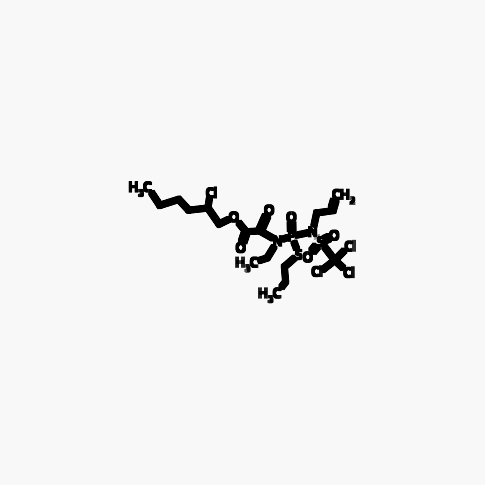 C=CCN(P(=O)(SCCC)N(CC)C(=O)C(=O)OCC(Cl)CCCC)S(=O)(=O)C(Cl)(Cl)Cl